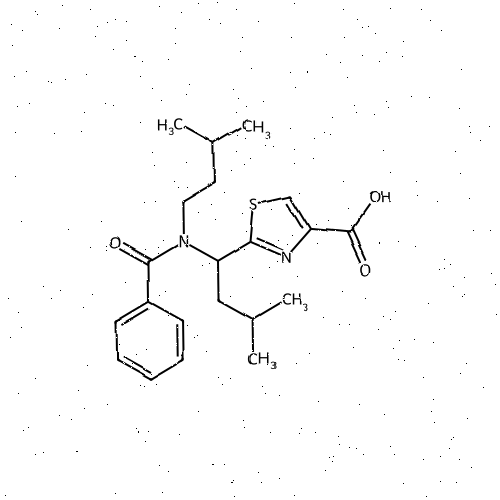 CC(C)CCN(C(=O)c1ccccc1)C(CC(C)C)c1nc(C(=O)O)cs1